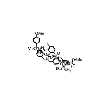 COc1ccc(CN(Cc2ccc(OC)cc2)S(=O)(=O)c2c(S(=O)(=O)NCC(CNC(=O)OC(C)(C)C)O[Si](C)(C)C(C)(C)C)ccc(I)c2-c2nnn(Cc3ccc(OC)cc3)n2)cc1